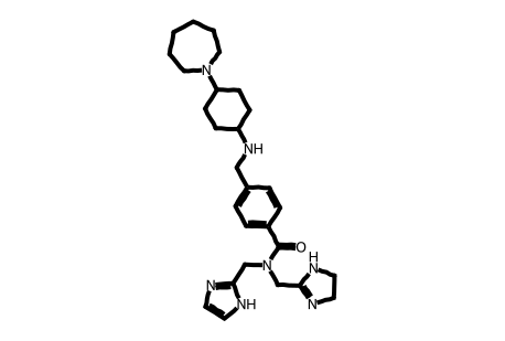 O=C(c1ccc(CNC2CCC(N3CCCCCC3)CC2)cc1)N(CC1=NCCN1)Cc1ncc[nH]1